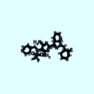 CN(C)S(=O)(=O)N(CC1=CC=NCC1)c1c(N)nc(-c2nn(CC3CC=CC=C3F)c3ncccc23)nc1N